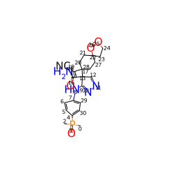 CP(C)(=O)c1ccc(NC2=NN=CC2(C(N)=O)C2(CC#N)CCC3(CCOO3)CC2)cc1